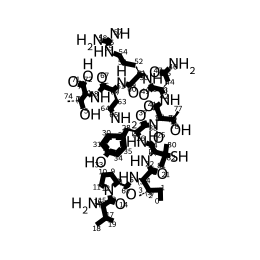 CC[C@H](C)[C@H](NC(=O)[C@@H]1CCCN1C(=O)[C@@H](N)C(C)C)C(=O)N[C@H](C(=O)N[C@@H](Cc1ccc(O)cc1)C(=O)N[C@H](C(=O)N[C@@H](CC(N)=O)C(=O)N[C@@H](CCCNC(=N)N)C(=O)N[C@@H](CCN)C(=O)N[C@H](C(=O)O)[C@@H](C)O)[C@@H](C)O)C(C)(C)S